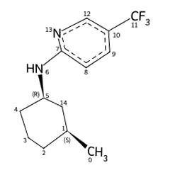 C[C@H]1CCC[C@@H](Nc2ccc(C(F)(F)F)cn2)C1